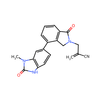 C=C(C#N)CN1Cc2c(cccc2-c2ccc3[nH]c(=O)n(C)c3c2)C1=O